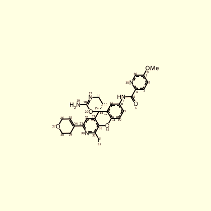 COc1ccc(C(=O)Nc2ccc3c(c2)[C@@]2(CCN=C(N)O2)c2cc(C4=CCOCC4)nc(F)c2O3)nc1